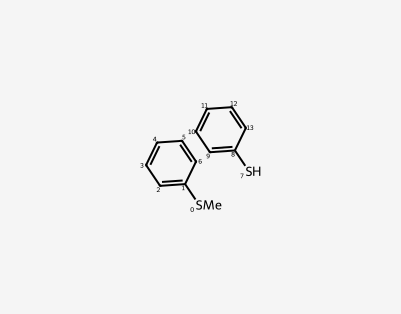 CSc1ccccc1.Sc1ccccc1